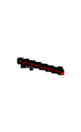 CC(C)(C)OC(=O)COCCOCCOCCOCCOCCOCCOCCOCCOCCOCCOc1cc(N)cc(Cl)c1